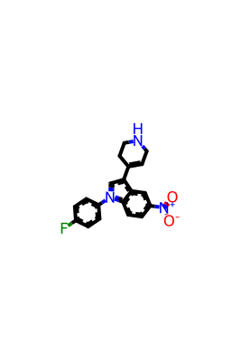 O=[N+]([O-])c1ccc2c(c1)c(C1=CCNCC1)cn2-c1ccc(F)cc1